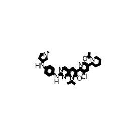 CC(=O)N1CCCCC1c1cnc(-c2cc3cnc(Nc4ccc(NC5CCN(C)C5)cc4)nc3n(C(C)C)c2=O)c(Cl)c1